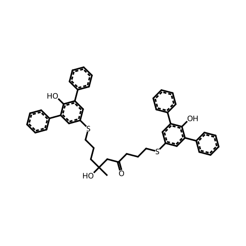 CC(O)(CCCSc1cc(-c2ccccc2)c(O)c(-c2ccccc2)c1)CC(=O)CCCSc1cc(-c2ccccc2)c(O)c(-c2ccccc2)c1